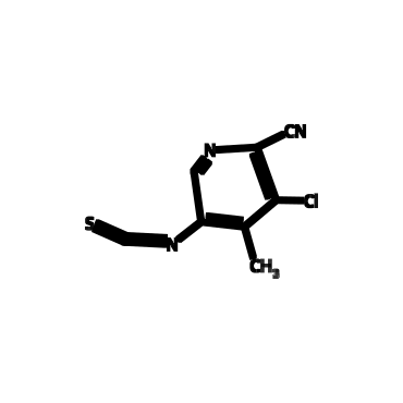 Cc1c(N=C=S)cnc(C#N)c1Cl